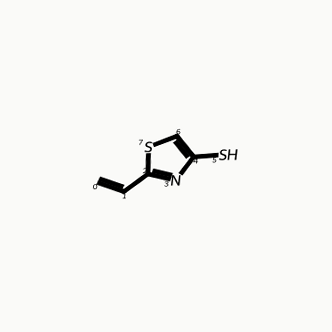 C=Cc1nc(S)cs1